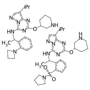 CC(C)c1cnn2c(NC(C)c3ccccc3N3CCC3)nc(OC3CCCNC3)nc12.CC(C)c1cnn2c(NC(C)c3ccccc3S(=O)(=O)N3CCCC3)nc(OC3CCCNC3)nc12